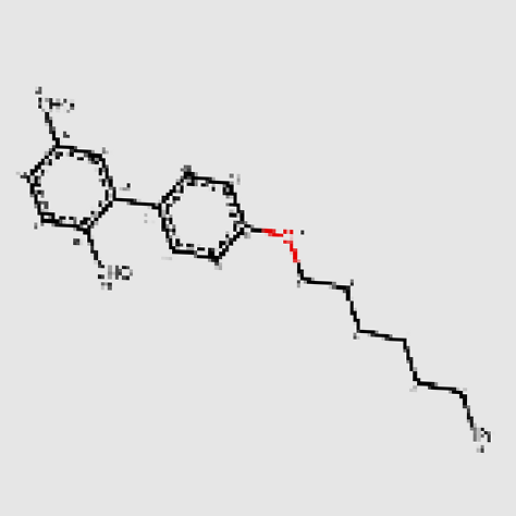 CC(C)CCCCCCOc1ccc(-c2cc(C=O)ccc2C=O)cc1